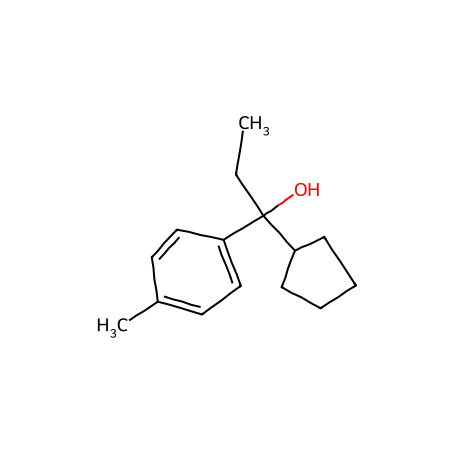 CCC(O)(c1ccc(C)cc1)C1CCCC1